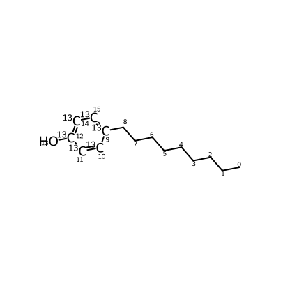 CCCCCCCCC[13c]1[13cH][13cH][13c](O)[13cH][13cH]1